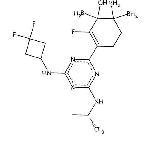 BC1(B)CCC(c2nc(NC3CC(F)(F)C3)nc(N[C@@H](C)C(F)(F)F)n2)=C(F)C1(B)O